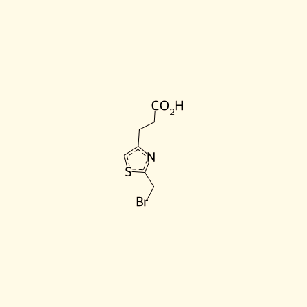 O=C(O)CCc1csc(CBr)n1